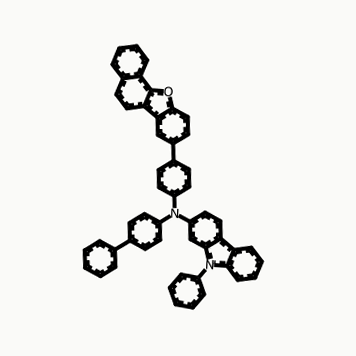 c1ccc(-c2ccc(N(c3ccc(-c4ccc5oc6c7ccccc7ccc6c5c4)cc3)c3ccc4c5ccccc5n(-c5ccccc5)c4c3)cc2)cc1